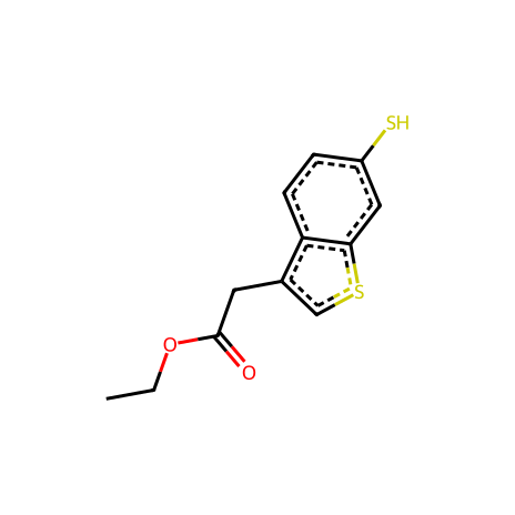 CCOC(=O)Cc1csc2cc(S)ccc12